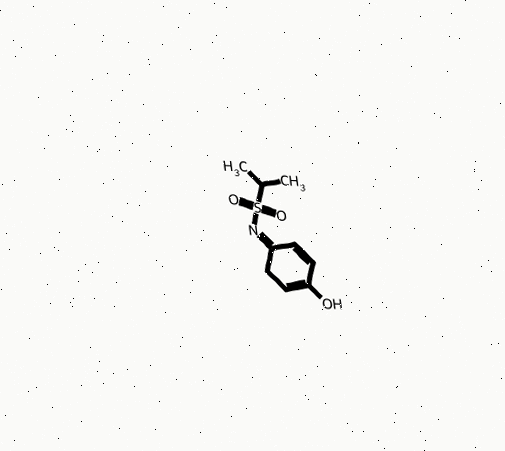 CC(C)S(=O)(=O)N=C1C=CC(O)=CC1